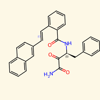 NC(=O)C(=O)[C@H](Cc1ccccc1)NC(=O)c1ccccc1/C=C/c1ccc2ccccc2c1